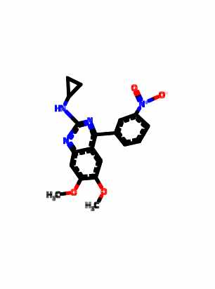 COc1cc2nc(NC3CC3)nc(-c3cccc([N+](=O)[O-])c3)c2cc1OC